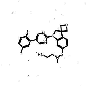 Cc1ccc(F)c(-c2cnc(N3CC4(COC4)c4ccc(SN(C)CCO)cc43)nc2)c1